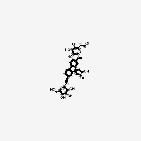 C=C(c1ccc2c(c1)C(CCO)(CCO)c1cc(C#C[C@H]3O[C@H](CO)[C@@H](O)[C@H](O)[C@@H]3O)ccc1-2)[C@H]1O[C@H](CCO)[C@@H](O)[C@H](O)[C@@H]1O